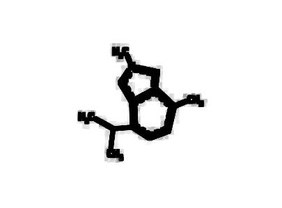 Cc1ccc(C(C)C)c2cn(C)cc12